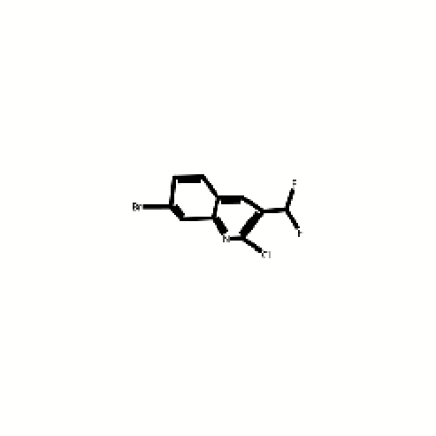 FC(F)c1cc2ccc(Br)cc2nc1Cl